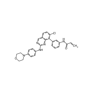 C=CC(=O)Nc1cccc(-c2c(Cl)ccc3cnc(Nc4ccc(N5CCOCC5)cc4)nc23)c1